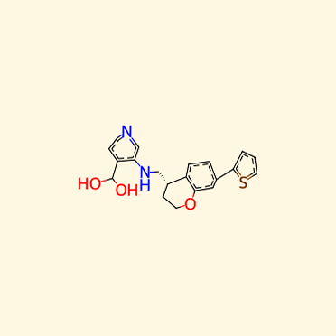 OC(O)c1ccncc1NC[C@H]1CCOc2cc(-c3cccs3)ccc21